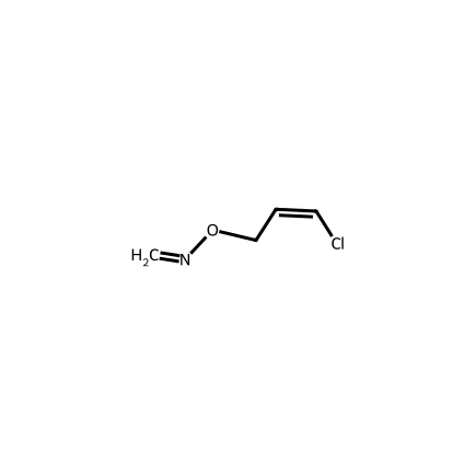 C=NOC/C=C\Cl